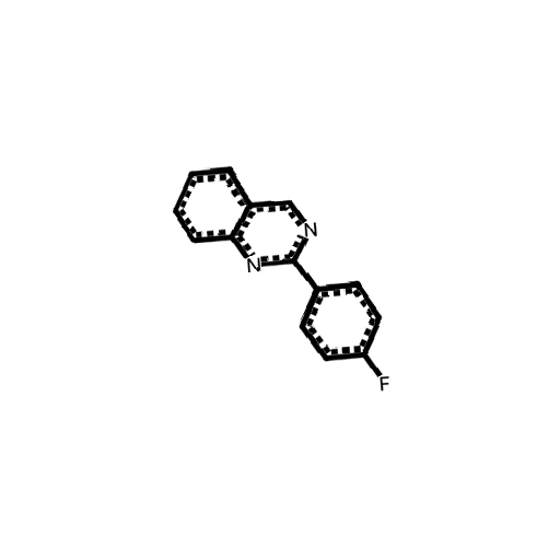 Fc1ccc(-c2ncc3ccccc3n2)cc1